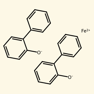 [Fe+2].[O-]c1ccccc1-c1ccccc1.[O-]c1ccccc1-c1ccccc1